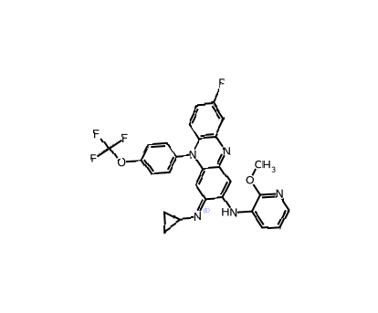 COc1ncccc1Nc1cc2nc3cc(F)ccc3n(-c3ccc(OC(F)(F)F)cc3)c-2c/c1=N\C1CC1